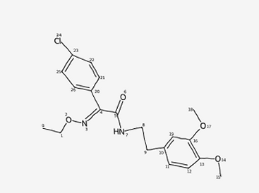 CCON=C(C(=O)NCCc1ccc(OC)c(OC)c1)c1ccc(Cl)cc1